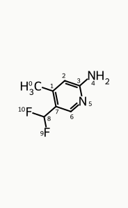 Cc1cc(N)ncc1C(F)F